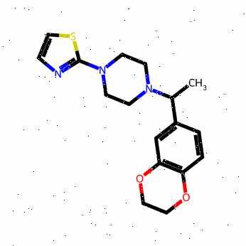 CC(c1ccc2c(c1)OCCO2)N1CCN(c2nc[c]s2)CC1